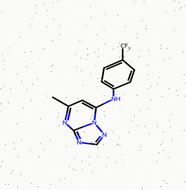 Cc1cc(Nc2ccc(C(F)(F)F)cc2)n2ncnc2n1